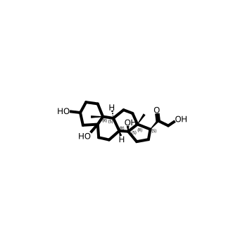 C[C@]12CCC(O)CC1(O)CC[C@@H]1[C@@H]2CC[C@]2(C)[C@@H](C(=O)CO)CC[C@]12O